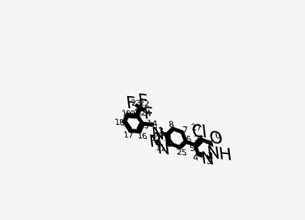 O=c1[nH]ncc(C2CCc3c(nnn3Cc3ccccc3C(F)(F)F)C2)c1Cl